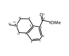 COC(=O)c1cccc2c1CCN(C)C2